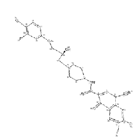 N#Cn1cc(C(=O)NC2CCN(C[C@H](O)COc3ccc(Cl)c(F)c3)CC2)c(=O)c2cc(F)c(Cl)cc21